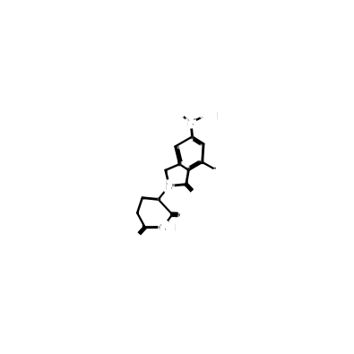 CN(C)c1cc(F)c2c(c1)CN(C1CCC(=O)NC1=O)C2=O